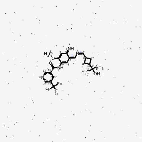 COC1=CC(=N)/C(=C\N=C/C2CC(C(C)(C)O)C2)C=C1NC(=O)c1cncc(C(F)(F)F)c1